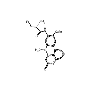 COc1ccc(N(C)c2cc(=O)oc3ccccc23)cc1NC(=O)[C@@H](N)CC(C)C